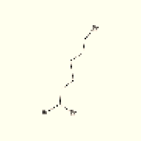 BrCCCCCC(Br)Br